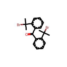 CC(C)(Br)c1ccccc1C(=O)c1ccccc1C(C)(C)Br